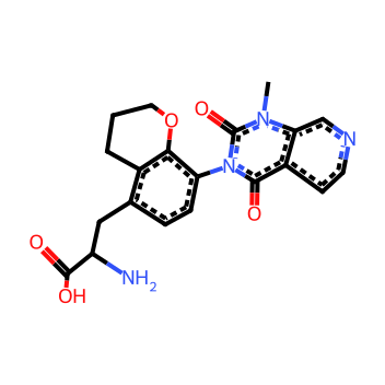 Cn1c(=O)n(-c2ccc(CC(N)C(=O)O)c3c2OCCC3)c(=O)c2ccncc21